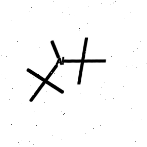 [CH3][Al]([C](C)(C)C)[C](C)(C)C